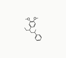 CCC(CC(C)c1ccccc1)c1ccc(OC)c(OC)c1